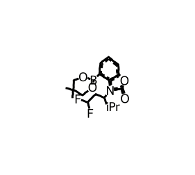 CC(C)C(CC(F)F)n1c(=O)oc2cccc(B3OCC(C)(C)CO3)c21